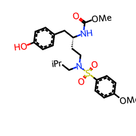 COC(=O)N[C@H](CCN(CC(C)C)S(=O)(=O)c1ccc(OC)cc1)Cc1ccc(O)cc1